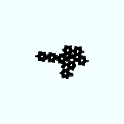 C=C(c1ccccc1-c1ccccc1C)c1cc(-c2ccc(-c3cccnc3)cc2)nc2c1cc(-c1cc3ccccc3c3ccccc13)c1ccccc12